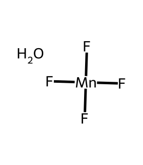 O.[F][Mn]([F])([F])[F]